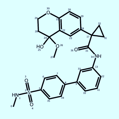 CNS(=O)(=O)c1ccc(-c2cccc(NC(=O)C3(c4ccc5c(c4)C(O)(OC)CCO5)CC3)c2)cc1